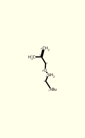 C=C(C)CO[SiH2]CCCCC